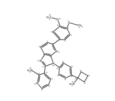 COc1ccc(-c2ccc3nc(-c4cccnc4N)n(-c4ccc(C5(N)CCC5)cc4)c3n2)cc1OC